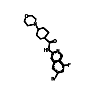 O=C(Nc1cc2cc(Br)cc(F)c2cn1)C1CCC(N2CCOCC2)CC1